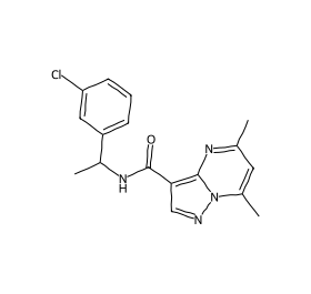 Cc1cc(C)n2ncc(C(=O)NC(C)c3cccc(Cl)c3)c2n1